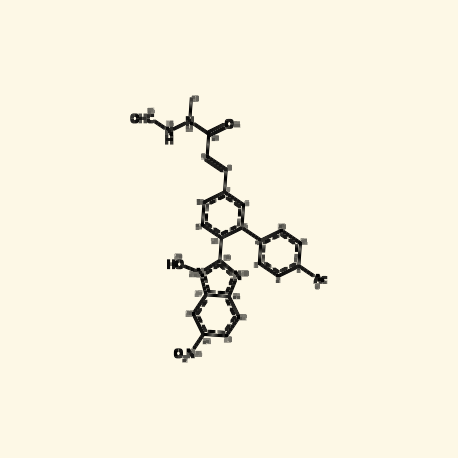 CC(=O)c1ccc(-c2cc(/C=C/C(=O)N(C)NC=O)ccc2-c2nc3ccc([N+](=O)[O-])cc3n2O)cc1